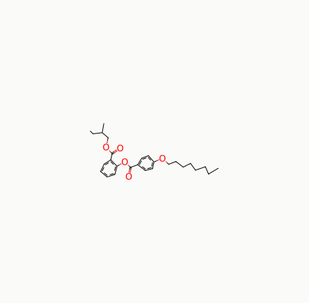 CCCCCCCCOc1ccc(C(=O)Oc2ccccc2C(=O)OCC(C)CC)cc1